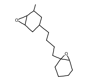 CC1CC(CCCCC23CCCCC2O3)CC2OC12